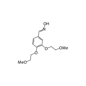 COCCOc1ccc(C=NO)cc1OCCOC